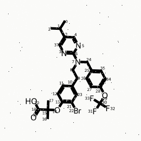 CC(C)c1cnc(N(CCc2ccc(OC(C)(C)C(=O)O)c(Br)c2)Cc2ccc(OC(F)(F)F)cc2)nc1